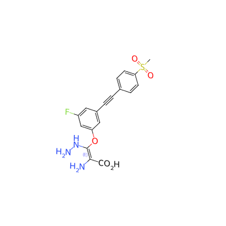 CS(=O)(=O)c1ccc(C#Cc2cc(F)cc(O/C(NN)=C(/N)C(=O)O)c2)cc1